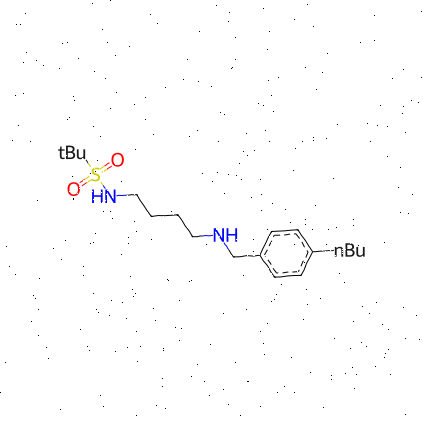 CCCCc1ccc(CNCCCCNS(=O)(=O)C(C)(C)C)cc1